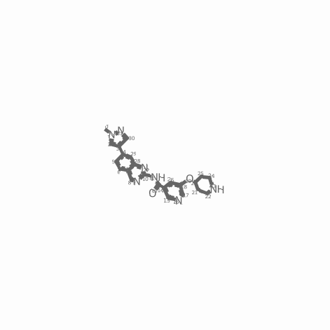 Cn1cc(-c2ccc3cnc(NC(=O)c4cncc(OC5CCNCC5)c4)nc3c2)cn1